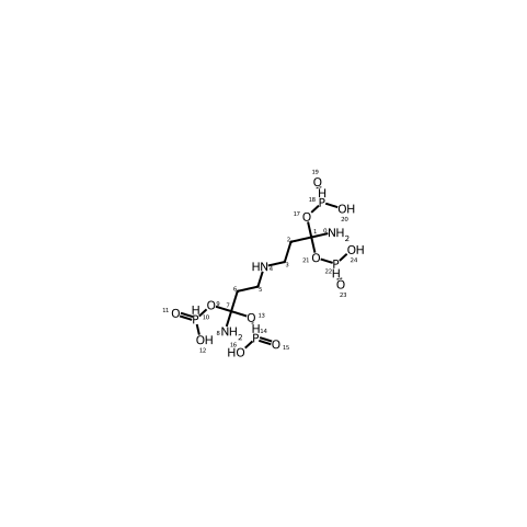 NC(CCNCCC(N)(O[PH](=O)O)O[PH](=O)O)(O[PH](=O)O)O[PH](=O)O